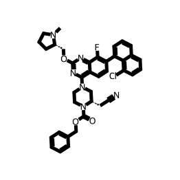 CN1CCC[C@H]1COc1nc(N2CCN(C(=O)OCc3ccccc3)[C@@H](CC#N)C2)c2ccc(-c3cccc4cccc(Cl)c34)c(F)c2n1